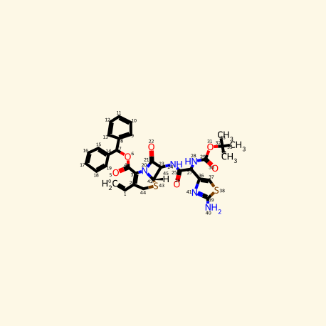 C=CC1=C(C(=O)OC(c2ccccc2)c2ccccc2)N2C(=O)C(NC(=O)C(NC(=O)OC(C)(C)C)c3csc(N)n3)[C@@H]2SC1